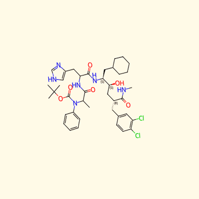 CNC(=O)[C@H](Cc1ccc(Cl)c(Cl)c1)C[C@H](O)[C@H](CC1CCCCC1)NC(=O)C(Cc1c[nH]cn1)NC(=O)C(C)N(C(=O)OC(C)(C)C)c1ccccc1